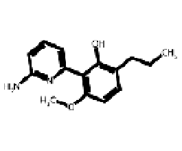 CCCc1ccc(OC)c(-c2cccc(N)n2)c1O